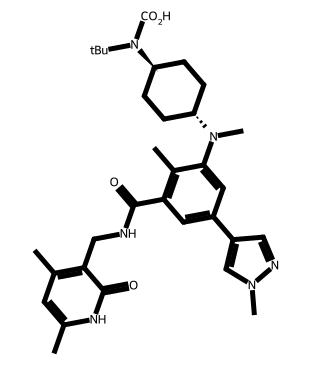 Cc1cc(C)c(CNC(=O)c2cc(-c3cnn(C)c3)cc(N(C)[C@H]3CC[C@H](N(C(=O)O)C(C)(C)C)CC3)c2C)c(=O)[nH]1